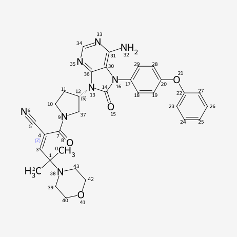 CC(C)(/C=C(/C#N)C(=O)N1CC[C@H](n2c(=O)n(-c3ccc(Oc4ccccc4)cc3)c3c(N)ncnc32)C1)N1CCOCC1